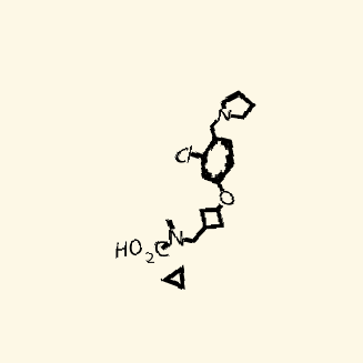 C1CC1.CN(CC1CC(Oc2ccc(CN3CCCC3)c(Cl)c2)C1)C(=O)O